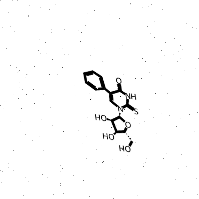 O=c1[nH]c(=S)n([C@@H]2O[C@H](CO)[C@@H](O)[C@H]2O)cc1-c1ccccc1